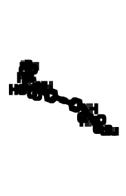 CC(C)(C)OC(=O)NCC(=O)Nc1ccc(C#Cc2ccc(C(=O)N[C@@H](CNC(=O)OC(C)(C)C)C(=O)NO)cc2)cc1